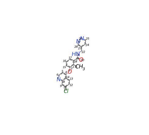 Cc1c(Oc2ccnc3cc(Cl)ccc23)cccc1C(=O)NCc1ccnnc1